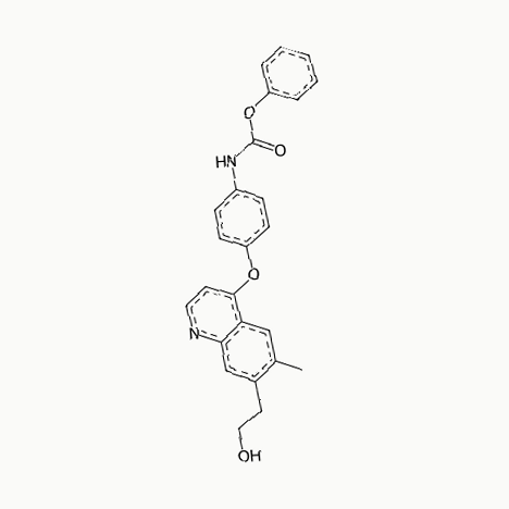 Cc1cc2c(Oc3ccc(NC(=O)Oc4ccccc4)cc3)ccnc2cc1CCO